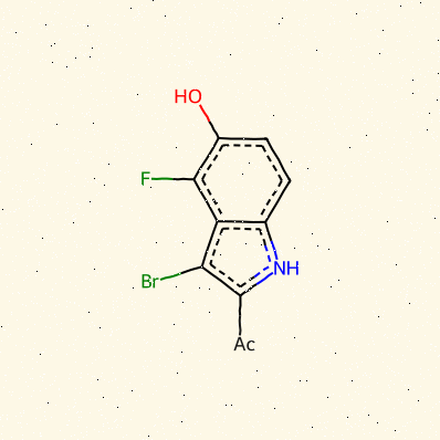 CC(=O)c1[nH]c2ccc(O)c(F)c2c1Br